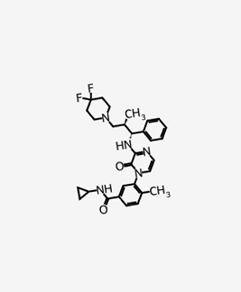 Cc1ccc(C(=O)NC2CC2)cc1-n1ccnc(N[C@@H](c2ccccc2)[C@H](C)CN2CCC(F)(F)CC2)c1=O